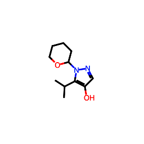 CC(C)c1c(O)cnn1C1CCCCO1